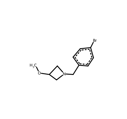 COC1CN(Cc2ccc(Br)cc2)C1